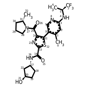 Cc1cc(N[C@@H](C)C(F)(F)F)ncc1-c1sc(C(=O)N[C@@H]2CC[C@@H](O)C2)nc1C(=O)N1CCC[C@@H]1C